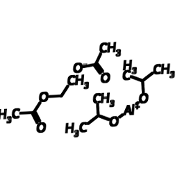 CC(=O)[O-].CC(C)[O][Al+][O]C(C)C.CCOC(C)=O